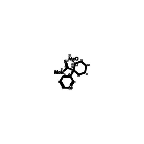 CNC(=S)[C@]1(c2cccnc2)CCCC[C@H]1OC